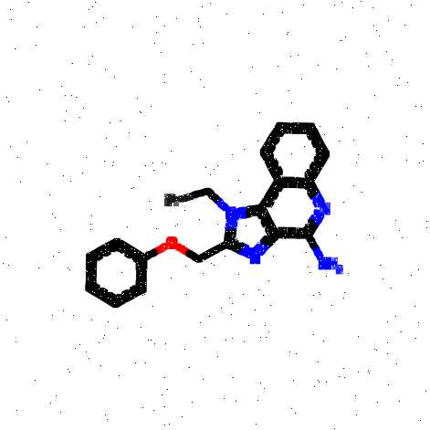 CC(C)Cn1c(COc2ccccc2)nc2c(N)nc3ccccc3c21